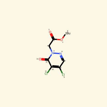 CC(C)(C)OC(=O)Cn1ncc(Cl)c(Cl)c1=O